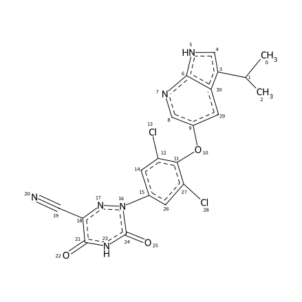 CC(C)c1c[nH]c2ncc(Oc3c(Cl)cc(-n4nc(C#N)c(=O)[nH]c4=O)cc3Cl)cc12